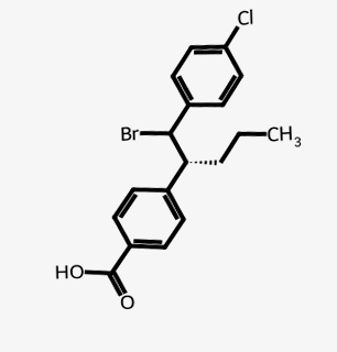 CCC[C@H](c1ccc(C(=O)O)cc1)C(Br)c1ccc(Cl)cc1